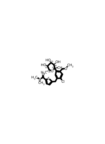 COCc1cc(Cl)c(Cc2ccc(C(=O)N(C)C)s2)cc1[C@]1(C)O[C@H](C)[C@@H](O)[C@H](O)[C@H]1O